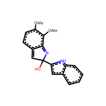 COc1ccc2c(c1OC)=NC(O)(c1cc3ccccc3[nH]1)C=2